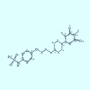 CCS(=O)(=O)Nc1ccc(OCCCN2CCN(c3cc(=O)n(C)c(=O)n3C)CC2)cc1